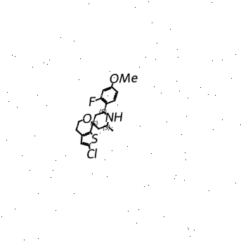 COc1ccc([C@@H]2C[C@]3(C[C@H](C)N2)OCCc2cc(Cl)sc23)c(F)c1